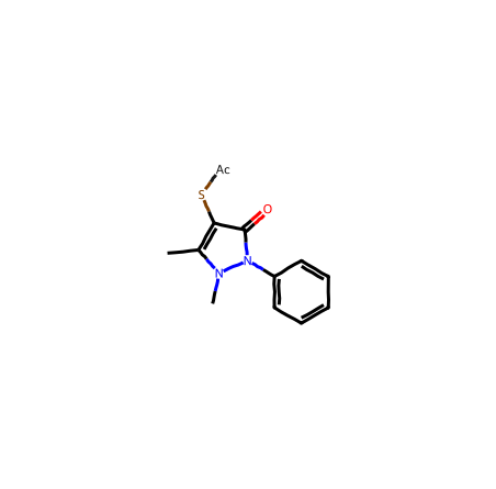 CC(=O)Sc1c(C)n(C)n(-c2ccccc2)c1=O